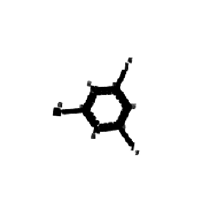 Brc1nc(I)cc(I)n1